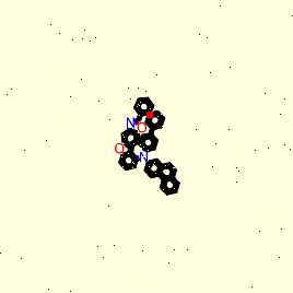 c1ccc(-c2ccc(N(c3ccc4c(ccc5ccccc54)c3)c3cccc4oc5cc6nc(-c7ccccc7)oc6cc5c34)cc2)cc1